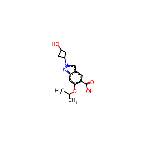 CC(C)Oc1cc2nn(C3CC(O)C3)cc2cc1C(=O)O